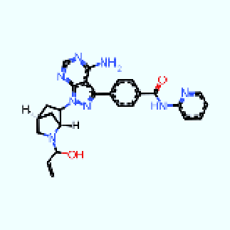 C=CC(O)N1C[C@H]2CC(n3nc(-c4ccc(C(=O)Nc5ccccn5)cc4)c4c(N)ncnc43)[C@H]1C2